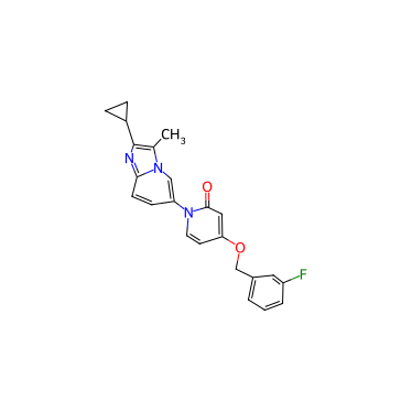 Cc1c(C2CC2)nc2ccc(-n3ccc(OCc4cccc(F)c4)cc3=O)cn12